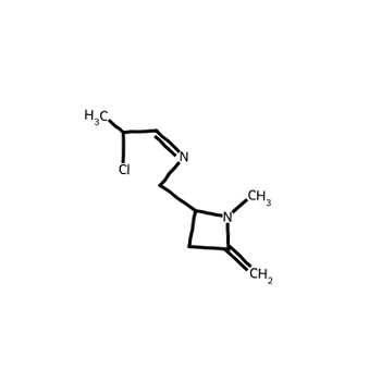 C=C1CC(C/N=C\C(C)Cl)N1C